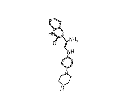 N/C(=C\Nc1ccc(N2CCNCC2)cc1)c1cc2ccccc2[nH]c1=O